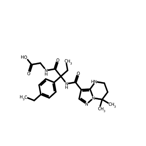 CCc1ccc(C(CC)(NC(=O)c2cnn3c2NCCC3(C)C)C(=O)NCC(=O)O)cc1